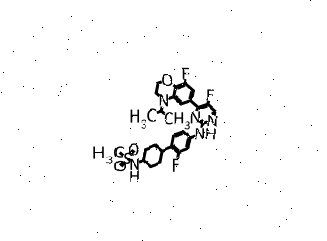 CC(C)N1CCOc2c(F)cc(-c3nc(Nc4ccc(C5CCC(NS(C)(=O)=O)CC5)c(F)c4)ncc3F)cc21